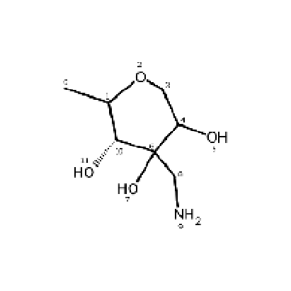 CC1OCC(O)C(O)(CN)[C@@H]1O